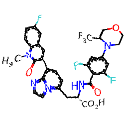 Cn1c(=O)c(-c2ccc(C[C@H](NC(=O)c3c(F)cc(N4CCOCC4C(F)(F)F)cc3F)C(=O)O)n3ccnc23)cc2cc(F)ccc21